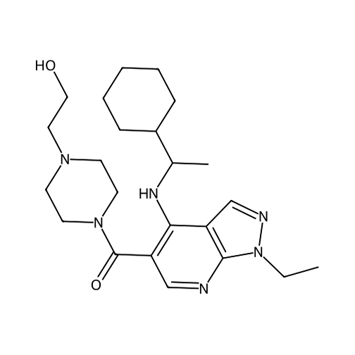 CCn1ncc2c(NC(C)C3CCCCC3)c(C(=O)N3CCN(CCO)CC3)cnc21